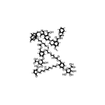 COCCN(CCOC12CC3(C)CC(C)(CC(Cn4ncc(-c5ccc(N6CCc7c(OC)ccc(C(=O)Nc8nc9ccccc9s8)c7C6)nc5C(=O)O)c4C)(C3)C1)C2)C(=O)OCc1ccc(O[C@@H]2O[C@H](C(=O)O)[C@@H](O)[C@H](O)[C@H]2O)cc1OCCOCCNC(=O)OCc1ccc(O[C@@H]2O[C@H](C(=O)O)[C@@H](O)[C@H](O)[C@H]2O)cc1OCCOCCNCCCN1C(=O)C=CC1=O